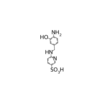 Nc1ccc(CNc2ccc(S(=O)(=O)O)cn2)cc1O